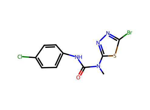 CN(C(=O)Nc1ccc(Cl)cc1)c1nnc(Br)s1